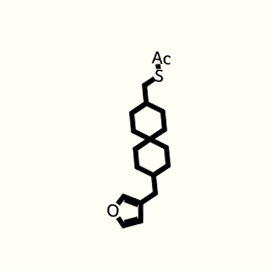 CC(=O)SCC1CCC2(CC1)CCC(Cc1ccoc1)CC2